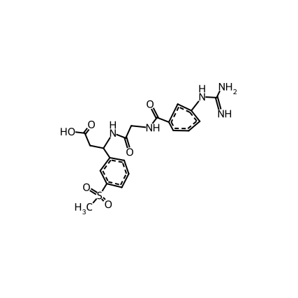 CS(=O)(=O)c1cccc(C(CC(=O)O)NC(=O)CNC(=O)c2cccc(NC(=N)N)c2)c1